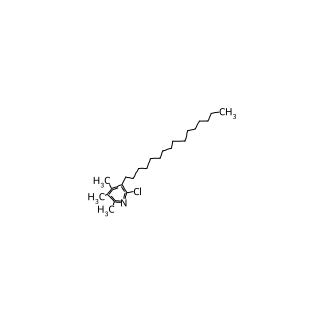 CCCCCCCCCCCCCCCCc1c(Cl)nc(C)c(C)c1C